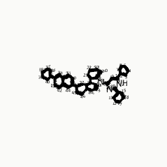 C1=C(c2ccccc2)NC(c2ccccc2)N=C1n1c2ccccc2c2c3cc(-c4ccc5cc(-c6ccccc6)ccc5c4)ccc3ccc21